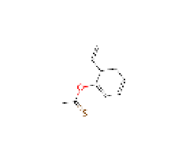 C=CC1CC=CC=C1OC(C)=S